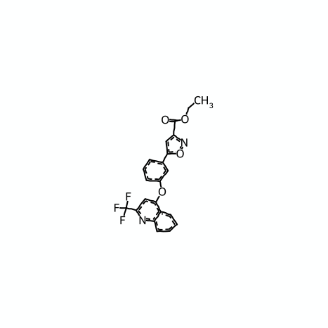 CCOC(=O)c1cc(-c2cccc(Oc3cc(C(F)(F)F)nc4ccccc34)c2)on1